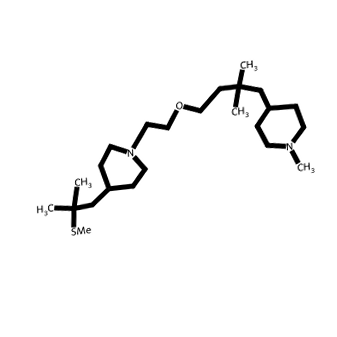 CSC(C)(C)CC1CCN(CCOCCC(C)(C)CC2CCN(C)CC2)CC1